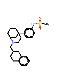 CS(=O)(=O)Nc1cccc(C23CCCC(C2)N(CC2CCc4ccccc4C2)CC3)c1